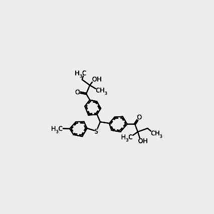 CCC(C)(O)C(=O)c1ccc(C(Sc2ccc(C)cc2)c2ccc(C(=O)C(C)(O)CC)cc2)cc1